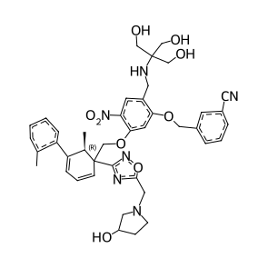 Cc1ccccc1C1=CC=CC(COc2cc(OCc3cccc(C#N)c3)c(CNC(CO)(CO)CO)cc2[N+](=O)[O-])(c2noc(CN3CCC(O)C3)n2)[C@@H]1C